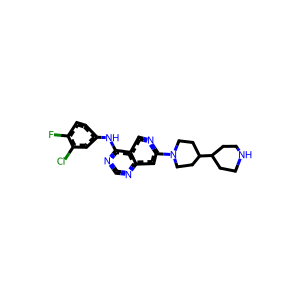 Fc1ccc(Nc2ncnc3cc(N4CCC(C5CCNCC5)CC4)ncc23)cc1Cl